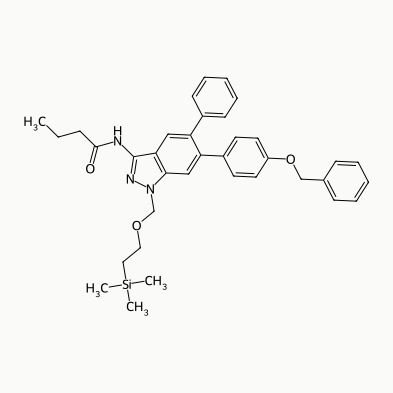 CCCC(=O)Nc1nn(COCC[Si](C)(C)C)c2cc(-c3ccc(OCc4ccccc4)cc3)c(-c3ccccc3)cc12